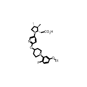 CCOc1ccc(F)c(N2CCC(Oc3ccc(N4C[C@H](C)[C@@H](C)[C@@H]4CC(=O)O)cn3)CC2)c1